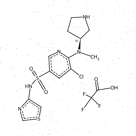 CN(c1ncc(S(=O)(=O)Nc2cscn2)cc1Cl)[C@H]1CCNC1.O=C(O)C(F)(F)F